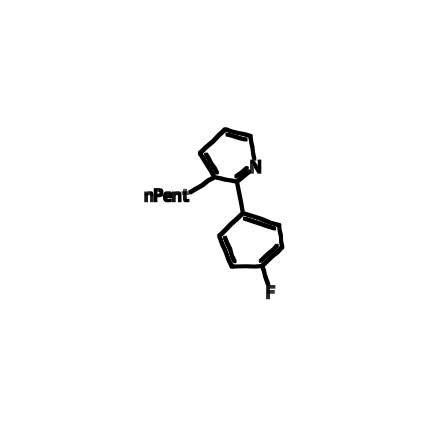 CCCCCc1cccnc1-c1ccc(F)cc1